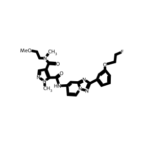 COCCN(C)C(=O)c1cnn(C)c1C(=O)Nc1ccn2nc(-c3cccc(OCCF)c3)nc2c1